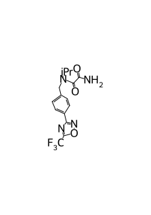 CC(C)N(Cc1ccc(-c2noc(C(F)(F)F)n2)cc1)C(=O)C(N)=O